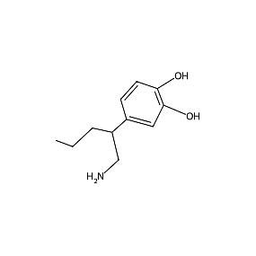 CCCC(CN)c1ccc(O)c(O)c1